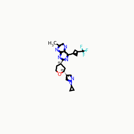 Cc1cnc2c(C34CC(C(F)(F)F)(C3)C4)nc([C@@H]3CCO[C@@H](c4cnn(C5CC5)c4)C3)nc2n1